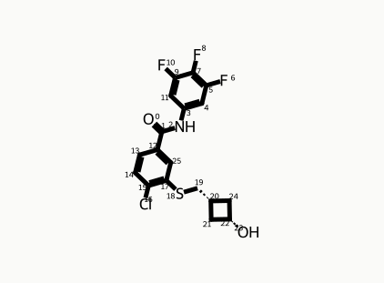 O=C(Nc1cc(F)c(F)c(F)c1)c1ccc(Cl)c(SC[C@H]2C[C@@H](O)C2)c1